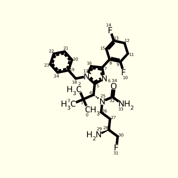 CC(C)(C)[C@H](c1nc(C2=C(F)CCC(F)=C2)cn1Cc1ccccc1)N(CC[C@H](N)CF)C(N)=O